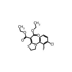 CCOC(=O)C(C(=O)OCC)=C1SCCN1c1cccc(Cl)c1F